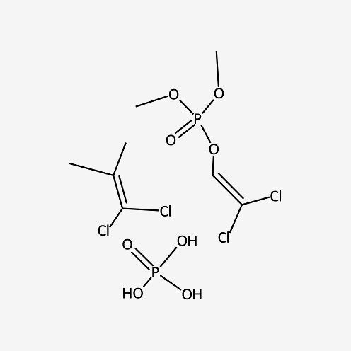 CC(C)=C(Cl)Cl.COP(=O)(OC)OC=C(Cl)Cl.O=P(O)(O)O